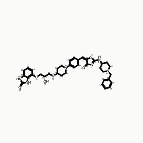 O=C1N=C(NC2CCN(Cc3ccccc3)CC2)S/C1=C/c1ccc(N2CCC(NC[C@H](O)COc3cccc4[nH]c(=O)[nH]c34)CC2)cc1